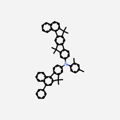 Cc1ccc(N(c2ccc3c(c2)C(C)(C)c2cc4c(cc2-3)C(C)(C)c2ccc3ccccc3c2-4)c2ccc3c(c2)C(C)(C)c2cc(-c4ccccc4)c4ccccc4c2-3)c(C)c1